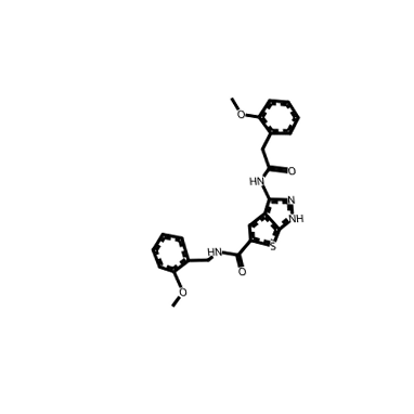 COc1ccccc1CNC(=O)c1cc2c(NC(=O)Cc3ccccc3OC)n[nH]c2s1